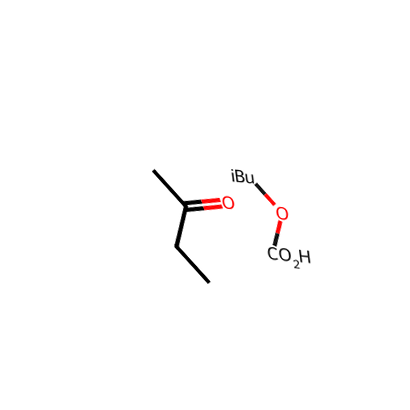 CCC(C)=O.CCC(C)OC(=O)O